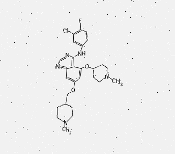 CN1CCC(COc2cc(OC3CCN(C)CC3)c3c(Nc4ccc(F)c(Cl)c4)ncnc3c2)CC1